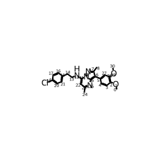 COc1ccc(-c2c(C)nn3c(NCCc4ccc(Cl)cc4)cc(C)nc23)cc1OC